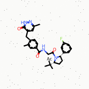 CC(=O)C(C)(C)[C@H]1CC[C@@H](c2cccc(F)c2)N1C(=O)CNC(=O)c1ccc(Cc2cc(C)n[nH]c2=O)c(C)c1